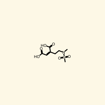 CN(CCC(=CC(=O)O)C(=O)O)S(C)(=O)=O